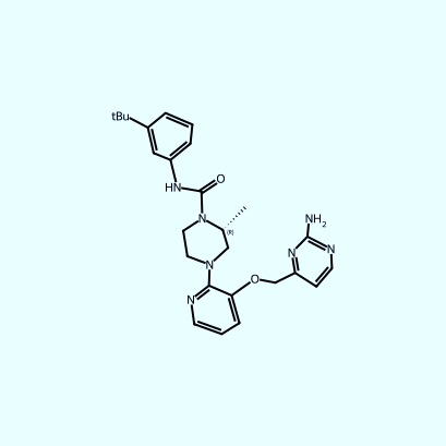 C[C@@H]1CN(c2ncccc2OCc2ccnc(N)n2)CCN1C(=O)Nc1cccc(C(C)(C)C)c1